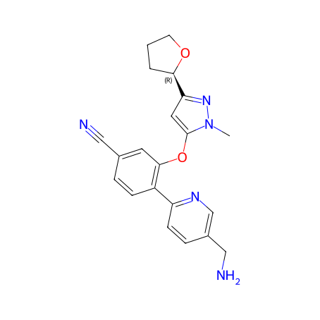 Cn1nc([C@H]2CCCO2)cc1Oc1cc(C#N)ccc1-c1ccc(CN)cn1